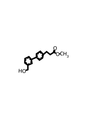 COC(=O)CCc1ccc(-c2cccc(CO)c2)cc1